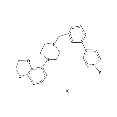 Cl.Fc1ccc(-c2cncc(CN3CCN(c4cccc5c4OCCO5)CC3)c2)cc1